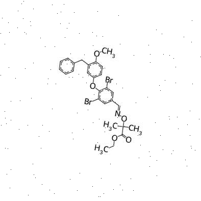 CCOC(=O)C(C)(C)ON=Cc1cc(Br)c(Oc2ccc(OC)c(Cc3ccccc3)c2)c(Br)c1